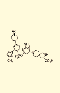 CC(=O)N1CC=C(c2ccc([C@@H](Oc3cc(N4CCC5(CC4)CNC(C(=O)O)C5)nc(N)n3)C(F)(F)F)c(-n3ccc(C)n3)c2)CC1